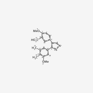 COc1ccc(-c2cnsc2-c2cc(C)c(C)c(OC)c2)cc1C(=O)O